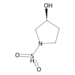 O=[SH](=O)N1CC[C@H](O)C1